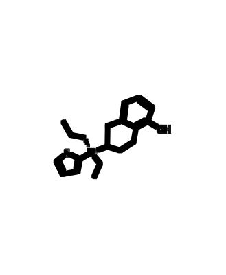 CCC[N@+](CC)(c1cccs1)C1CCc2c(O)cccc2C1